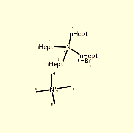 Br.CCCCCCC[N+](CCCCCCC)(CCCCCCC)CCCCCCC.C[N+](C)(C)C